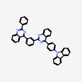 c1ccc(-c2nc(-c3cccc(-c4nc(-c5ccc(-n6c7ccccc7c7ccccc76)cc5)c5ccccc5n4)c3)c3ccccc3n2)cc1